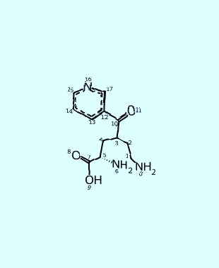 NCCC(C[C@H](N)C(=O)O)C(=O)c1cccnc1